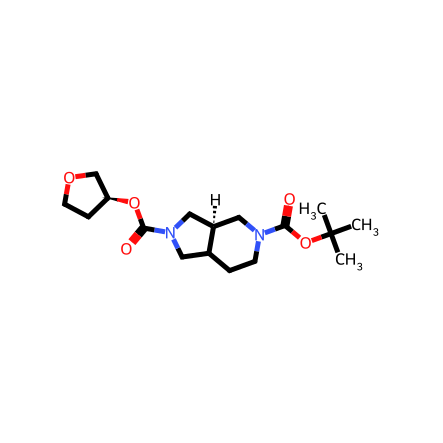 CC(C)(C)OC(=O)N1CCC2CN(C(=O)O[C@H]3CCOC3)C[C@H]2C1